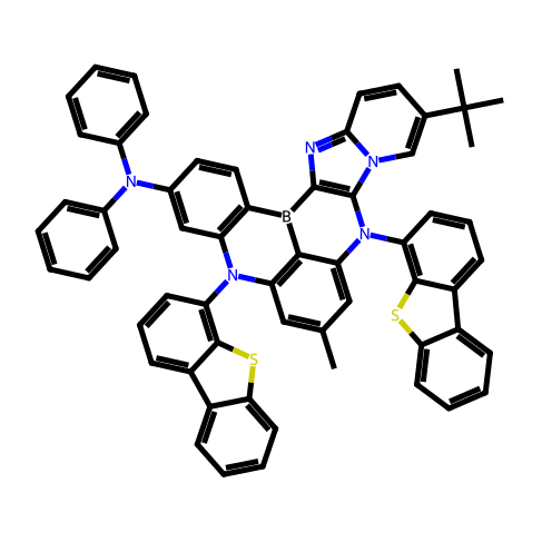 Cc1cc2c3c(c1)N(c1cccc4c1sc1ccccc14)c1c(nc4ccc(C(C)(C)C)cn14)B3c1ccc(N(c3ccccc3)c3ccccc3)cc1N2c1cccc2c1sc1ccccc12